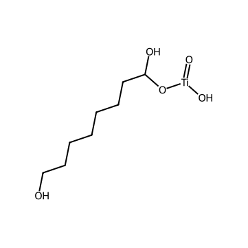 [O]=[Ti]([OH])[O]C(O)CCCCCCCO